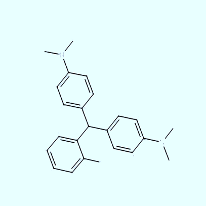 CN(C)c1ccc(C(c2ccc(N(C)C)cc2)c2ccccc2F)cc1